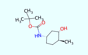 C[C@H]1CC[C@H](NC(=O)OC(C)(C)C)C[C@@H]1O